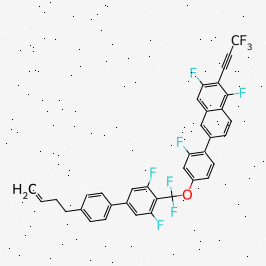 C=CCCc1ccc(-c2cc(F)c(C(F)(F)Oc3ccc(-c4ccc5c(F)c(C#CC(F)(F)F)c(F)cc5c4)c(F)c3)c(F)c2)cc1